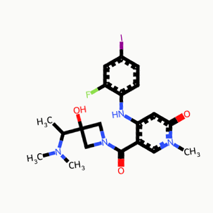 CC(N(C)C)C1(O)CN(C(=O)c2cn(C)c(=O)cc2Nc2ccc(I)cc2F)C1